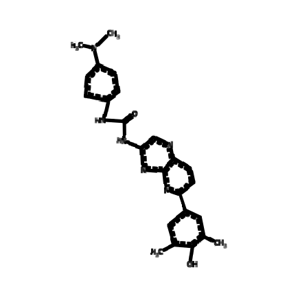 Cc1cc(-c2ccc3ncc(NC(=O)Nc4ccc(N(C)C)cc4)nc3n2)cc(C)c1O